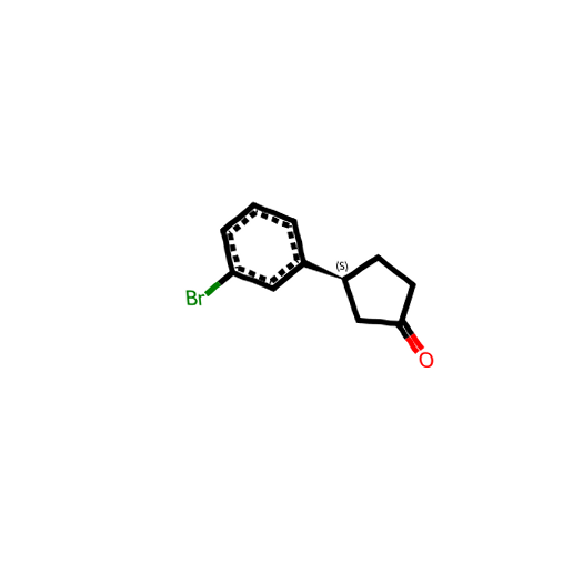 O=C1CC[C@H](c2cccc(Br)c2)C1